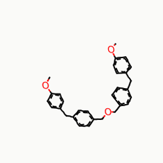 COc1ccc(Cc2ccc(COCc3ccc(Cc4ccc(OC)cc4)cc3)cc2)cc1